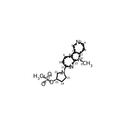 Cn1c2ccncc2c2ccc(N3CC[C@@H](OS(C)(=O)=O)C3)nc21